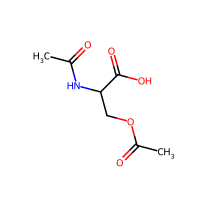 CC(=O)NC(COC(C)=O)C(=O)O